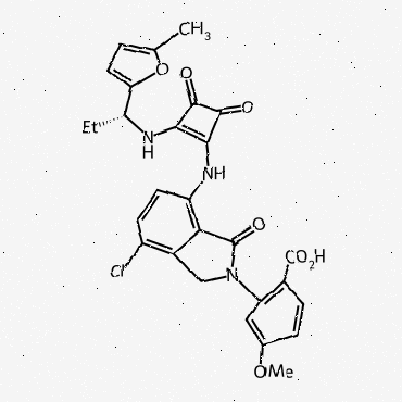 CC[C@@H](Nc1c(Nc2ccc(Cl)c3c2C(=O)N(c2cc(OC)ccc2C(=O)O)C3)c(=O)c1=O)c1ccc(C)o1